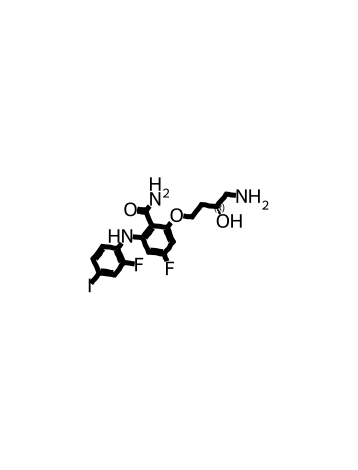 NC[C@H](O)CCOc1cc(F)cc(Nc2ccc(I)cc2F)c1C(N)=O